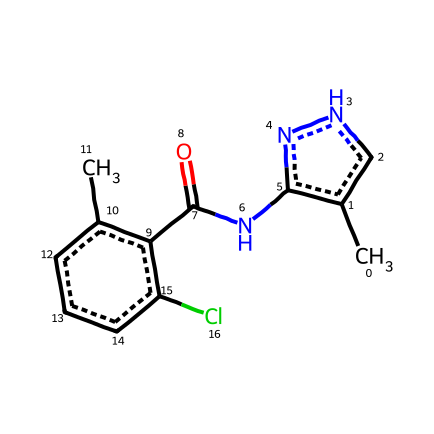 Cc1c[nH]nc1NC(=O)c1c(C)cccc1Cl